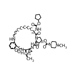 C=C[C@@H]1C[C@@]12NC(=O)[C@@H]1C[C@@H](OC(=O)N3CCN(C)CC3)CN1C(=O)[C@@H](NC(=O)OC1CCCC1)CCCCCCCNc1ccccc1S(=O)(=O)NC2=O